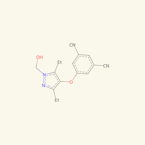 [C-]#[N+]c1cc(C#N)cc(Oc2c(CC)nn(CO)c2CC)c1